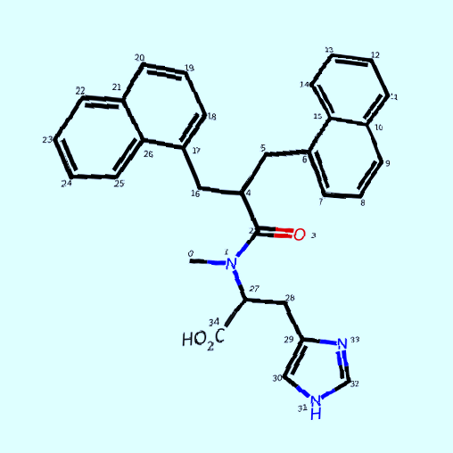 CN(C(=O)C(Cc1cccc2ccccc12)Cc1cccc2ccccc12)C(Cc1c[nH]cn1)C(=O)O